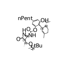 C=C(C)[C@@H]1CCC(C)=C[C@H]1c1c(O)cc(CCCCC)cc1OC(=O)N[C@H]1NC(=O)[C@@H]1[C@@H](C)O[Si](C)(C)C(C)(C)C